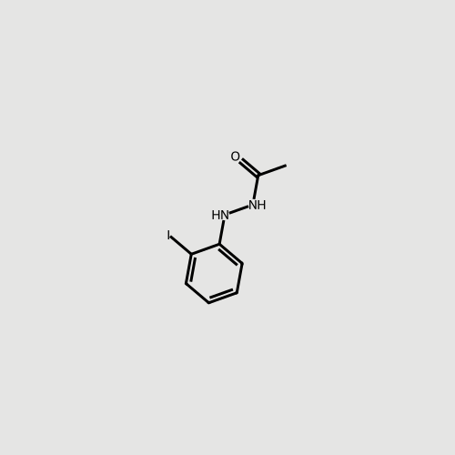 CC(=O)NNc1ccccc1I